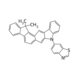 CC1(C)c2ccccc2-c2ccc3cc4c(cc3c21)c1ccccc1n4-c1ccc2ncsc2c1